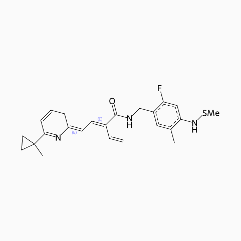 C=C/C(=C\C=C1/CC=CC(C2(C)CC2)=N1)C(=O)NCc1cc(C)c(NSC)cc1F